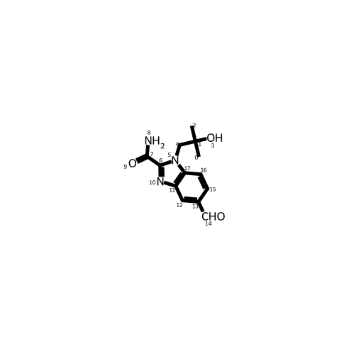 CC(C)(O)Cn1c(C(N)=O)nc2cc(C=O)ccc21